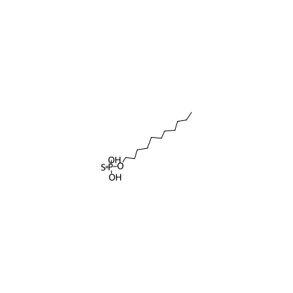 CCCCCCCCCCCOP(O)(O)=S